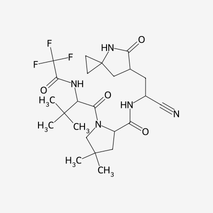 CC1(C)CC(C(=O)NC(C#N)CC2CC3(CC3)NC2=O)N(C(=O)C(NC(=O)C(F)(F)F)C(C)(C)C)C1